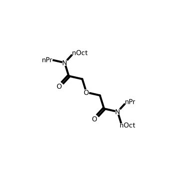 CCCCCCCCN(CCC)C(=O)COCC(=O)N(CCC)CCCCCCCC